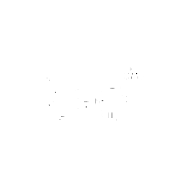 COC(=O)CN(C)c1cccc(Br)c1